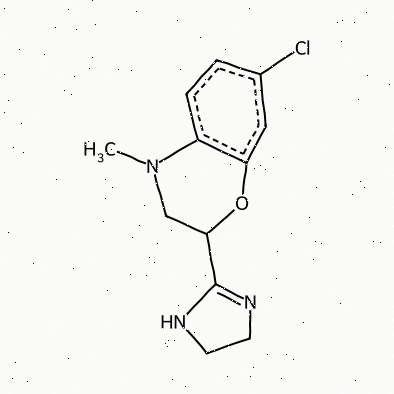 CN1CC(C2=NCCN2)Oc2cc(Cl)ccc21